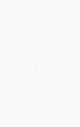 C[C@@H]1CN=C2N(Cc3cnn(C)c3)C(=O)c3cc(S(=O)(=O)O)ccc3N21